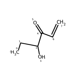 [CH2]CC(O)C(=O)C=C